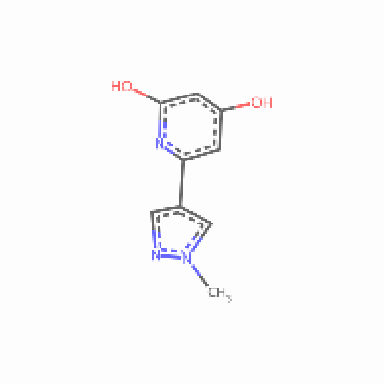 Cn1cc(-c2cc(O)cc(O)n2)cn1